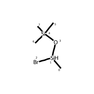 C[SiH](Br)O[Si](C)(C)C